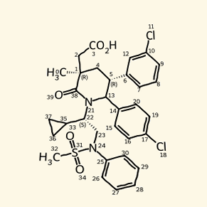 C[C@]1(CC(=O)O)C[C@H](c2cccc(Cl)c2)C(c2ccc(Cl)cc2)N([C@H](CN(c2ccccc2)S(C)(=O)=O)C2CC2)C1=O